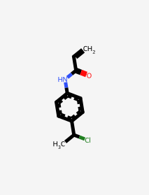 C=CC(=O)Nc1ccc(C(C)Cl)cc1